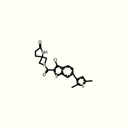 Cc1cc(-c2ccc3c(Cl)c(C(=O)N4CC5(CCC(=O)N5)C4)sc3c2)c(C)s1